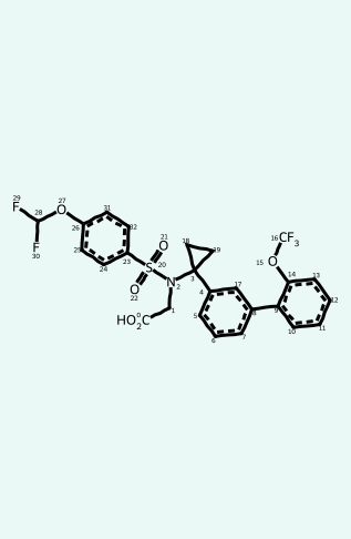 O=C(O)CN(C1(c2cccc(-c3ccccc3OC(F)(F)F)c2)CC1)S(=O)(=O)c1ccc(OC(F)F)cc1